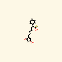 O=C1CC(O)C=C1CCCCCC(C(O)=S)c1ccccc1